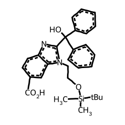 CC(C)(C)[Si](C)(C)OCCn1c(C(O)(c2ccccc2)c2ccccc2)nc2ccc(C(=O)O)cc21